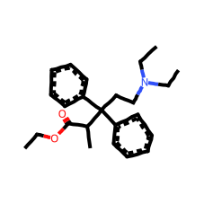 CCOC(=O)C(C)C(CCN(CC)CC)(c1ccccc1)c1ccccc1